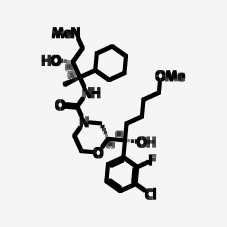 CNC[C@@H](O)[C@@](C)(NC(=O)N1CCO[C@@H]([C@@](O)(CCCCOC)c2cccc(Cl)c2F)C1)C1CCCCC1